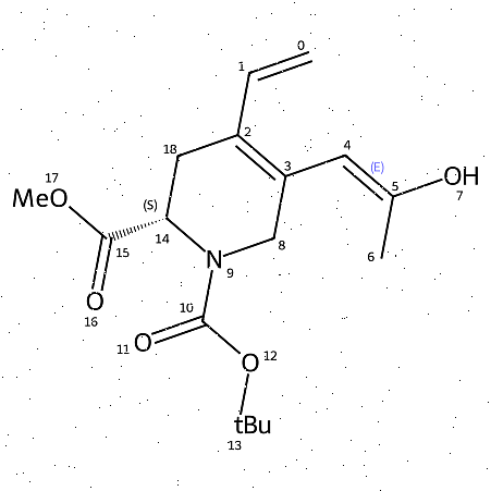 C=CC1=C(/C=C(\C)O)CN(C(=O)OC(C)(C)C)[C@H](C(=O)OC)C1